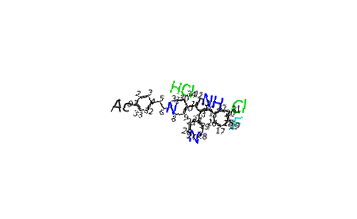 CC(=O)c1ccc(CCN2CC=C(c3c[nH]c(-c4ccc(F)c(Cl)c4)c3-c3ccncc3)CC2)cc1.Cl